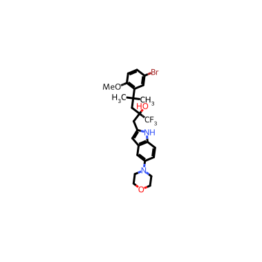 COc1ccc(Br)cc1C(C)(C)CC(O)(Cc1cc2cc(N3CCOCC3)ccc2[nH]1)C(F)(F)F